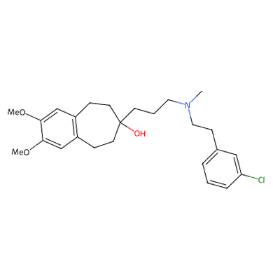 COc1cc2c(cc1OC)CCC(O)(CCCN(C)CCc1cccc(Cl)c1)CC2